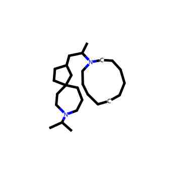 CC(C)N1CCCC2(CCC(CC(C)N3CCCCCCCCCC3)C2)CC1